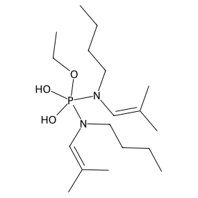 CCCCN(C=C(C)C)P(O)(O)(OCC)N(C=C(C)C)CCCC